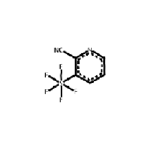 N#Cc1ncccc1S(F)(F)(F)(F)F